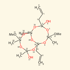 C=CC[Si]1(O)O[Si](C)(OC)O[Si]2(CC=C)O[Si](C)(O)O[Si](C)(OC)O[Si](C)(O1)O2